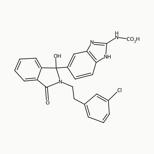 O=C(O)Nc1nc2cc(C3(O)c4ccccc4C(=O)N3CCc3cccc(Cl)c3)ccc2[nH]1